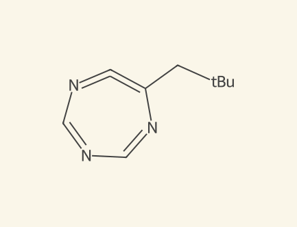 CC(C)(C)CC1=C=NC=NC=N1